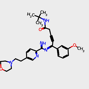 COc1cccc(/C(C#CCC(=O)NC(C)(C)C)=N/C(=N)c2ccc(CCN3CCOCC3)cn2)c1